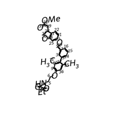 CCS(=O)(=O)NCCOc1cc(C)c(-c2cccc(COc3ccc4c(c3)OCC4CC(=O)OC)c2)c(C)c1